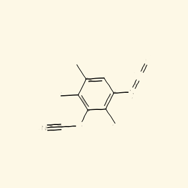 Cc1cc(N=C=O)c(C)c(OC#N)c1C